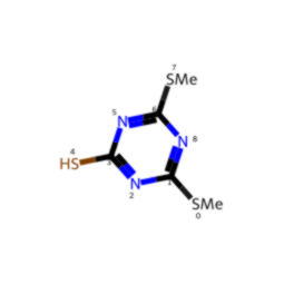 CSc1nc(S)nc(SC)n1